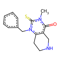 Cn1c(=O)c2c(n(Cc3ccccc3)c1=S)CCNC2